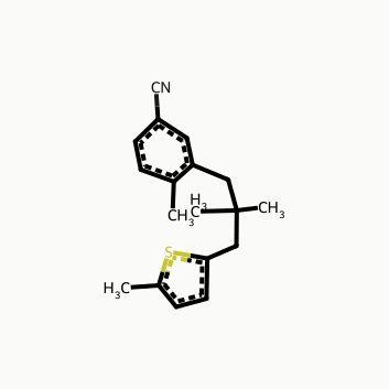 Cc1ccc(CC(C)(C)Cc2cc(C#N)ccc2C)s1